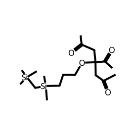 CC(=O)CC(CC(C)=O)(OCCC[Si](C)(C)C[Si](C)(C)C)C(C)=O